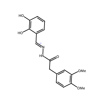 COc1ccc(CC(=O)N/N=C/c2cccc(O)c2O)cc1OC